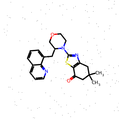 CC1(C)CC(=O)c2sc(N3CCOCC3Cc3cccc4cccnc34)nc2C1